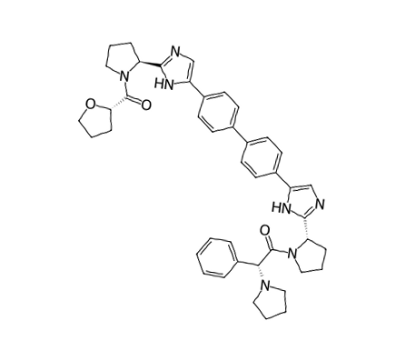 O=C([C@@H]1CCCO1)N1CCC[C@H]1c1ncc(-c2ccc(-c3ccc(-c4cnc([C@@H]5CCCN5C(=O)[C@@H](c5ccccc5)N5CCCC5)[nH]4)cc3)cc2)[nH]1